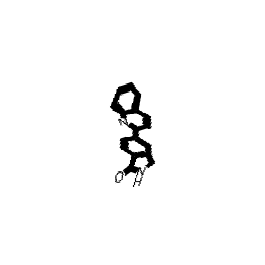 O=C1NCc2cc(-c3ccc4ccccc4n3)ccc21